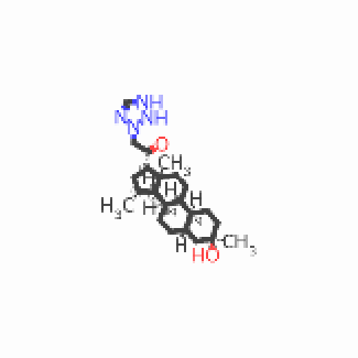 C[C@@H]1C[C@H](C(=O)CN2N=CNN2)[C@@]2(C)CC[C@H]3[C@@H](CC[C@@H]4C[C@](C)(O)CC[C@@H]43)[C@H]12